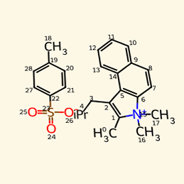 CC1=C(CC(C)C)c2c(ccc3ccccc23)[N+]1(C)C.Cc1ccc(S(=O)(=O)[O-])cc1